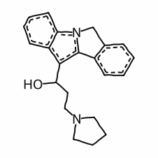 OC(CCN1CCCC1)c1c2n(c3ccccc13)Cc1ccccc1-2